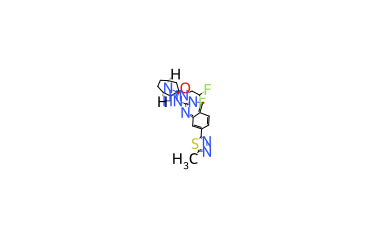 Cc1nnc(-c2ccc3cnc(NC(=O)N4[C@@H]5CC[C@H]4C[C@H](NCC(F)F)C5)nc3c2)s1